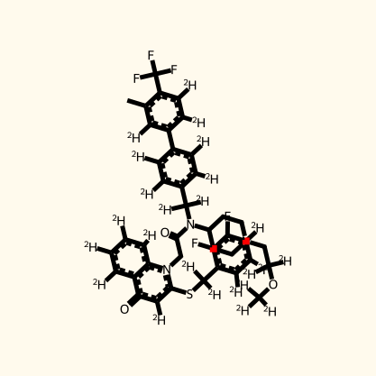 [2H]c1c([2H])c(F)c(F)c(C([2H])([2H])Sc2c([2H])c(=O)c3c([2H])c([2H])c([2H])c([2H])c3n2CC(=O)N(C2CCN(CC([2H])([2H])OC([2H])([2H])[2H])CC2)C([2H])([2H])c2c([2H])c([2H])c(-c3c([2H])c([2H])c(C(F)(F)F)c(C)c3[2H])c([2H])c2[2H])c1[2H]